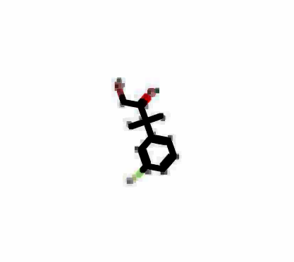 CC(C)(C(=O)CBr)c1cccc(F)c1